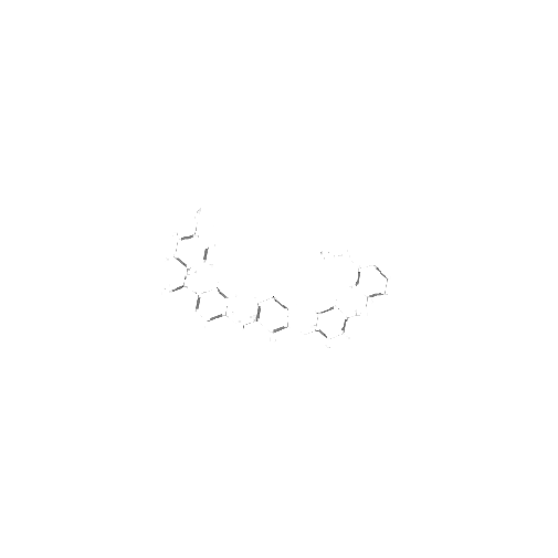 COc1cccc(Oc2ccc(Oc3cccc(Oc4ccc(C(=O)c5ccc(C)cc5)cc4)c3)cc2)c1